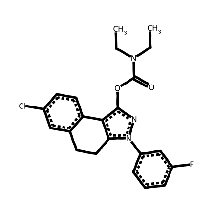 CCN(CC)C(=O)Oc1nn(-c2cccc(F)c2)c2c1-c1ccc(Cl)cc1CC2